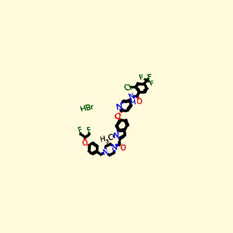 Br.Cn1c(C(=O)N2CCN(Cc3ccc(OC(CF)CF)cc3)CC2)cc2ccc(Oc3ccc(NC(=O)c4ccc(C(F)(F)F)cc4Cl)cn3)cc21